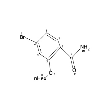 CCCCCCOc1cc(Br)ccc1C(N)=O